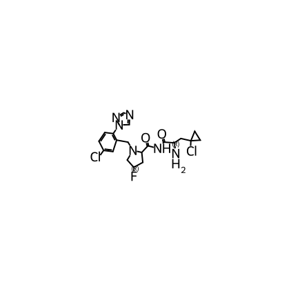 N[C@H](CC1(Cl)CC1)C(=O)NC(=O)C1C[C@@H](F)CN1Cc1cc(Cl)ccc1-n1cncn1